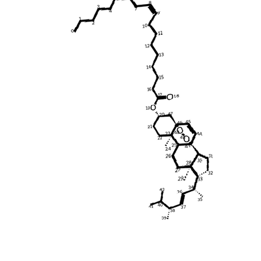 CCCCC/C=C\C/C=C\CCCCCCCC(=O)O[C@H]1CC[C@]2(C)C3CC[C@@]4(C)C(CC[C@@H]4[C@H](C)C=C[C@H](C)C(C)C)[C@@]34C=C[C@]2(C1)OO4